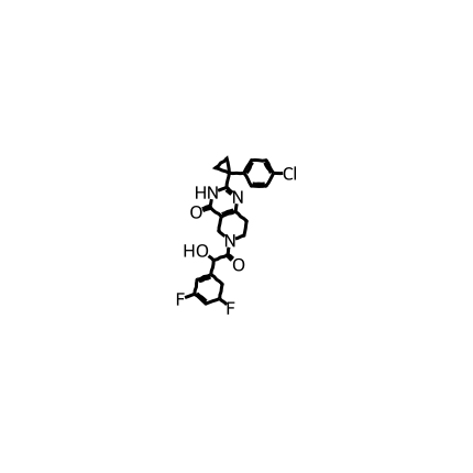 O=C(C(O)C1=CC(F)=CC(F)C1)N1CCc2nc(C3(c4ccc(Cl)cc4)CC3)[nH]c(=O)c2C1